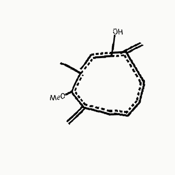 C=c1ccccc(=C)c(OC)c(C)cc1O